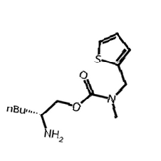 CCCC[C@@H](N)COC(=O)N(C)Cc1cccs1